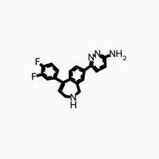 Nc1ccc(-c2ccc3c(c2)CNCC=C3c2ccc(F)c(F)c2)nn1